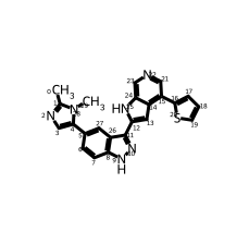 Cc1ncc(-c2ccc3[nH]nc(-c4cc5c(-c6cccs6)cncc5[nH]4)c3c2)n1C